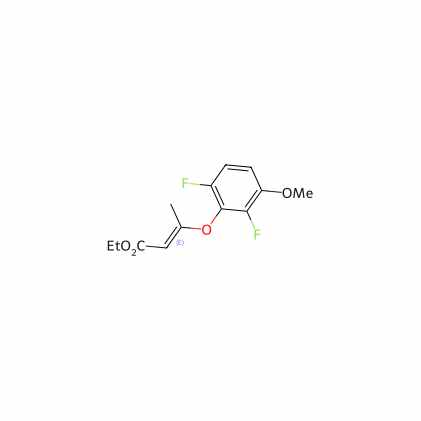 CCOC(=O)/C=C(\C)Oc1c(F)ccc(OC)c1F